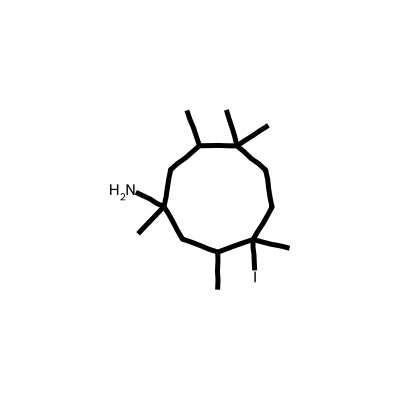 CC1CC(C)(N)CC(C)C(C)(I)CCC1(C)C